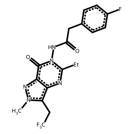 CCc1nc2c(CC(F)(F)F)n(C)nc2c(=O)n1NC(=O)Cc1ccc(F)cc1